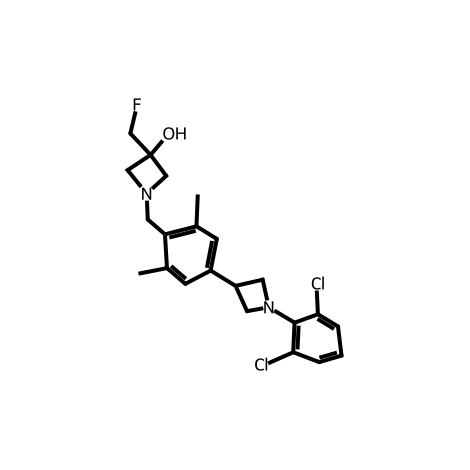 Cc1cc(C2CN(c3c(Cl)cccc3Cl)C2)cc(C)c1CN1CC(O)(CF)C1